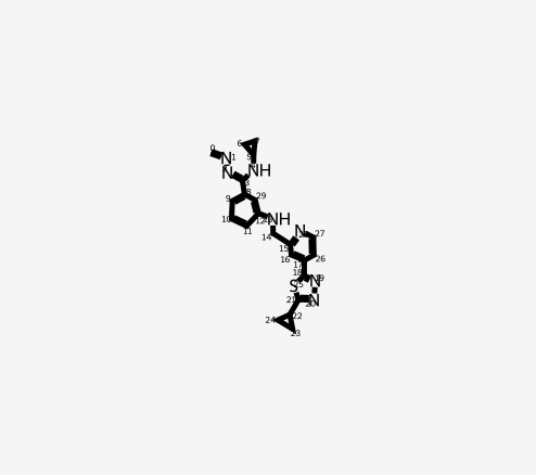 C=NN=C(NC1CC1)c1cccc(NCc2cc(-c3nnc(C4CC4)s3)ccn2)c1